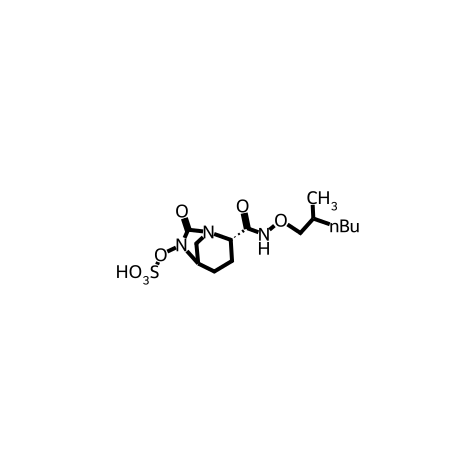 CCCCC(C)CONC(=O)[C@@H]1CCC2CN1C(=O)N2OS(=O)(=O)O